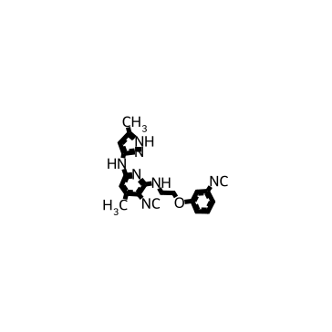 [C-]#[N+]c1cccc(OCCNc2nc(Nc3cc(C)[nH]n3)cc(C)c2[N+]#[C-])c1